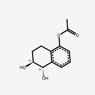 CC(=O)Oc1cccc2c1CC[C@H](O)[C@H]2O